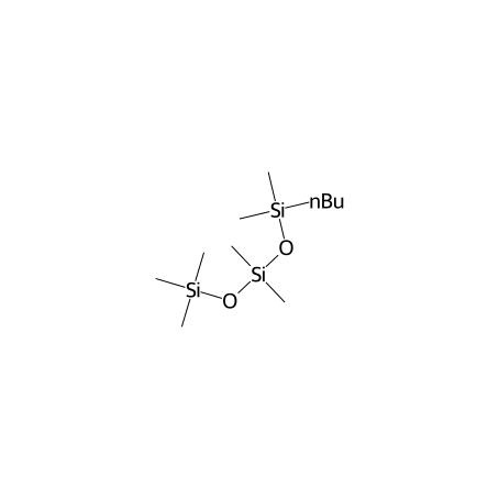 [CH2]CCC[Si](C)(C)O[Si](C)(C)O[Si](C)(C)C